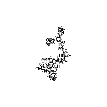 CC[C@@]1(O)C(=O)OCc2c1cc1n(c2=O)Cc2c-1nc1cc(Cl)c(C)c3c1c2[C@@H](N(Cc1ccc(NC(=O)[C@H](C)NC(=O)[C@@H](NC(=O)CNC(=O)CNC(=O)c2cc(-c4cnc(S(C)(=O)=O)nc4)cc(-c4cnc(S(C)(=O)=O)nc4)c2)C(C)C)cc1CNC)C(=O)O)CC3